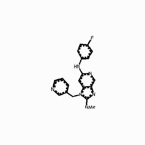 CNc1nc2cnc(Nc3ccc(F)cc3)cc2n1Cc1cccnc1